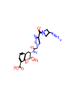 NC1CN(C(=O)c2cn(CC(=O)N[C@H]3Cc4cccc(C(=O)O)c4OB3O)nn2)C1